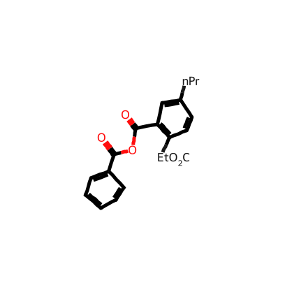 CCCc1ccc(C(=O)OCC)c(C(=O)OC(=O)c2ccccc2)c1